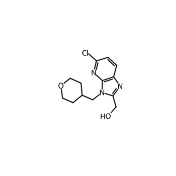 OCc1nc2ccc(Cl)nc2n1CC1CCOCC1